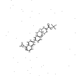 CC(C)(C)OC(=O)N1CCC2(CCc3cc(-c4ccc5c(C6CC6)nccc5c4)ccc3O2)CC1